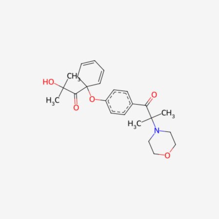 CC(C)(O)C(=O)C1(Oc2ccc(C(=O)C(C)(C)N3CCOCC3)cc2)C=CC=CC1